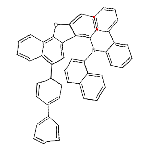 C1=CC(c2cc3c(oc4cccc(N(c5ccccc5-c5ccccc5)c5cccc6ccccc56)c43)c3ccccc23)CC=C1c1ccccc1